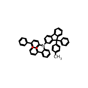 Cc1ccc(C2(c3ccccc3)c3ccccc3-c3ccc(N(c4ccc(-c5ccccc5)cc4)c4ccccc4-c4ccccc4)cc32)cc1